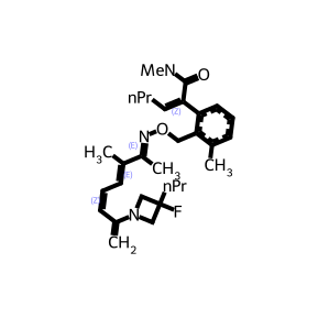 C=C(\C=C/C=C(C)/C(C)=N/OCc1c(C)cccc1/C(=C/CCC)C(=O)NC)N1CC(F)(CCC)C1